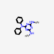 CCCNc1nc(NCCC)nc(N(c2ccccc2)c2ccccc2)n1